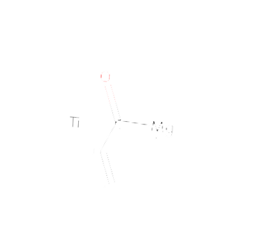 C=C[C](=O)[Mg].[Ti]